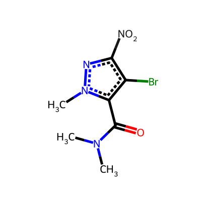 CN(C)C(=O)c1c(Br)c([N+](=O)[O-])nn1C